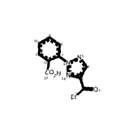 CCC(=O)c1cnn(-c2ccccc2C(=O)O)n1